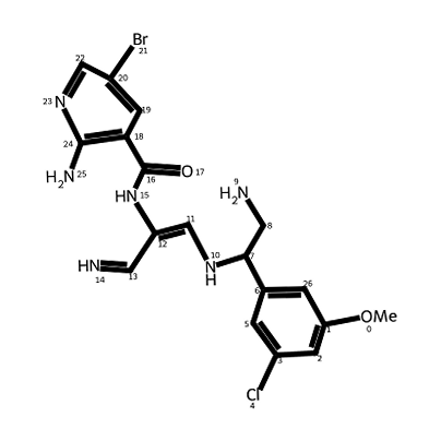 COc1cc(Cl)cc(C(CN)N/C=C(\C=N)NC(=O)c2cc(Br)cnc2N)c1